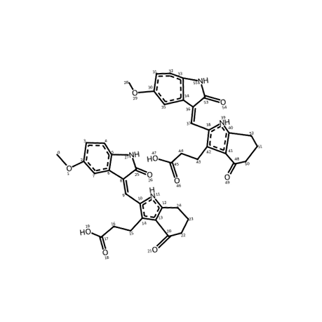 COc1ccc2c(c1)/C(=C/c1[nH]c3c(c1CCC(=O)O)C(=O)CCC3)C(=O)N2.COc1ccc2c(c1)/C(=C/c1[nH]c3c(c1CCC(=O)O)C(=O)CCC3)C(=O)N2